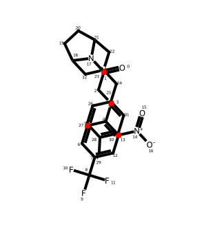 O=C(COc1ccc(C(F)(F)F)cc1[N+](=O)[O-])N1C2CCC1CN(Cc1ccc(F)cc1)C2